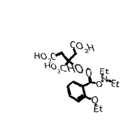 CCOc1ccccc1C(=O)ON(CC)CC.O=C(O)CC(O)(CC(=O)O)C(=O)O